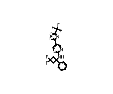 FC1(F)CC(Nc2ncc(-c3noc(C(F)(F)F)n3)cn2)(c2ccccc2)C1